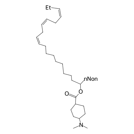 CC/C=C\C/C=C\C/C=C\CCCCCCCCC(CCCCCCCCC)OC(=O)C1CCC(N(C)C)CC1